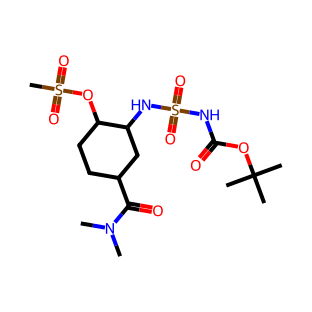 CN(C)C(=O)C1CCC(OS(C)(=O)=O)C(NS(=O)(=O)NC(=O)OC(C)(C)C)C1